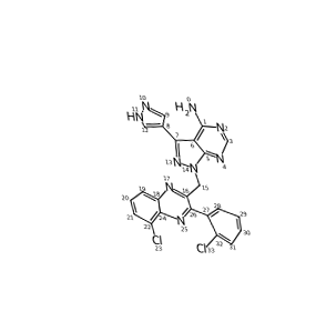 Nc1ncnc2c1c(-c1cn[nH]c1)nn2Cc1nc2cccc(Cl)c2nc1-c1ccccc1Cl